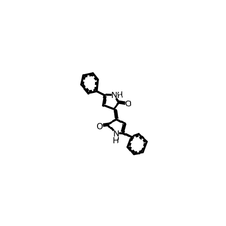 O=C1NC(c2ccccc2)=C/C1=C1/C=C(c2ccccc2)NC1=O